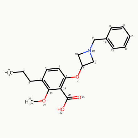 CCCc1ccc(OC2CN(Cc3ccccc3)C2)c(C(=O)O)c1OC